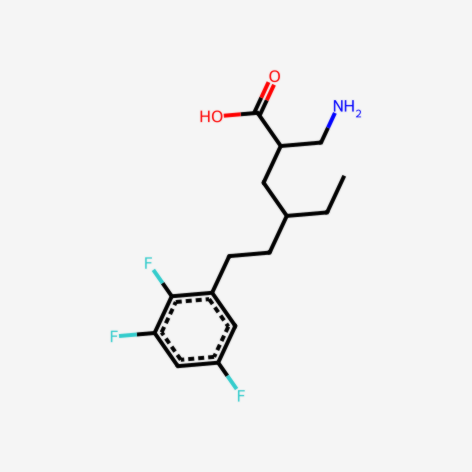 CCC(CCc1cc(F)cc(F)c1F)CC(CN)C(=O)O